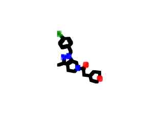 Cc1nn(Cc2ccc(F)cc2)c2c1CCN(C(=O)CC1CCOCC1)C2